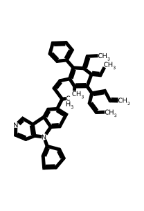 C=C/C=C(\C=C/C)c1c(C)c(/C=C\C(C)c2ccc3c(c2)c2cnccc2n3-c2ccccc2)c(-c2ccccc2)c(=C/C)/c1=C\C